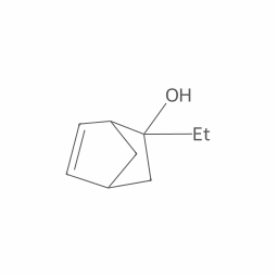 CCC1(O)CC2C=CC1C2